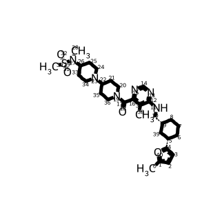 Cc1ccc([C@H]2CCC[C@@H](CNc3ncnc(C(=O)N4CCC(N5CCC(N(C)S(C)(=O)=O)CC5)CC4)c3C)C2)o1